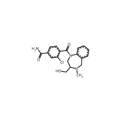 CN1Cc2ccccc2N(C(=O)c2ccc(C(N)=O)cc2Cl)CC1CO